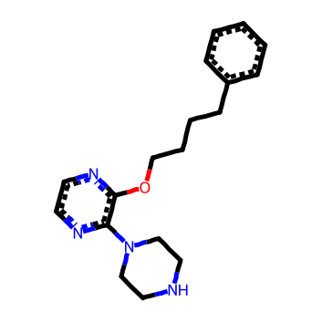 c1ccc(CCCCOc2nccnc2N2CCNCC2)cc1